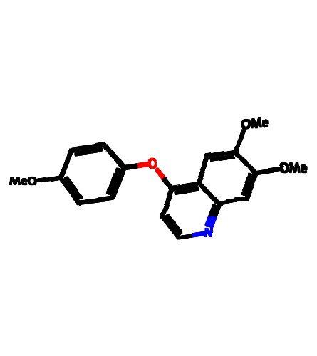 COc1ccc(Oc2ccnc3cc(OC)c(OC)cc23)cc1